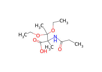 CCOC(C)(OCC)C(C)(NC(=O)CC)C(=O)O